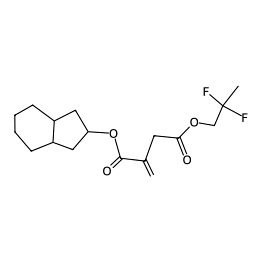 C=C(CC(=O)OCC(C)(F)F)C(=O)OC1CC2CCCCC2C1